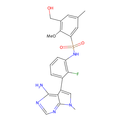 COc1c(CO)cc(C)cc1S(=O)(=O)Nc1cccc(-c2cn(C)c3ncnc(N)c23)c1F